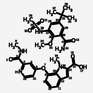 CNC(=O)c1cc(Oc2cccc3cc(C(=O)O)n(C)c23)ccn1.COc1c(NS(C)(=O)=O)cc(C(C)(C)C)cc1C(N)=O